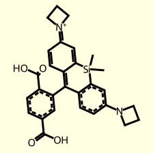 C[Si]1(C)C2=CC(=[N+]3CCC3)C=CC2=C(c2cc(C(=O)O)ccc2C(=O)O)c2ccc(N3CCC3)cc21